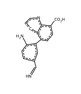 N=Cc1ccc(N)c(-c2ccc(C(=O)O)c3ncccc23)c1